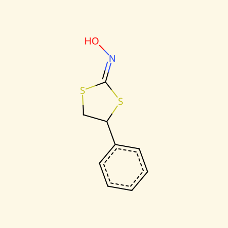 O/N=C1\SCC(c2ccccc2)S1